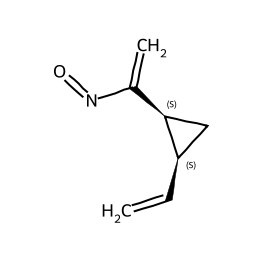 C=C[C@@H]1C[C@@H]1C(=C)N=O